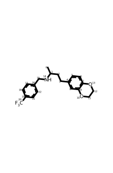 CC(CCc1ccc2c(c1)OCCO2)NCc1ccc(C(F)(F)F)cc1